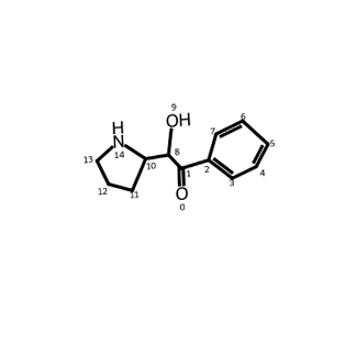 O=C(c1ccccc1)C(O)C1CCCN1